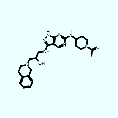 CC(=O)N1CCC(Nc2ncc3c(NCC(O)CN4CCc5ccccc5C4)n[nH]c3n2)CC1